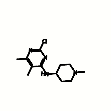 Cc1nc(Cl)nc(NC2CCN(C)CC2)c1C